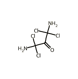 NC(Cl)(Cl)C(=O)C(N)(Cl)Cl